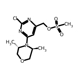 C[C@H]1COC[C@H](C)N1c1cc(COS(C)(=O)=O)nc(Cl)n1